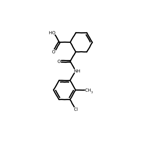 Cc1c(Cl)cccc1NC(=O)C1CC=CCC1C(=O)O